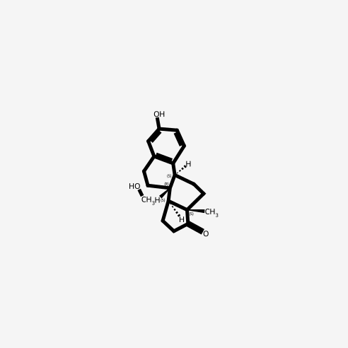 CO.C[C@]12CC[C@@H]3c4ccc(O)cc4CC[C@H]3[C@@H]1CCC2=O